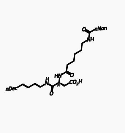 CCCCCCCCCCCCCCNC(=O)[C@H](CC(=O)O)NC(=O)CCCCCNC(=O)CCCCCCCCC